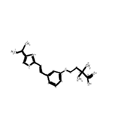 CC(C)c1csc(C=Cc2cccc(OCCC(C)(C)C(=O)O)c2)n1